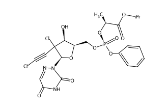 CC(C)OC(=O)[C@H](C)O[P@](=O)(OC[C@H]1O[C@@H](n2ncc(=O)[nH]c2=O)C(Cl)(C#CCl)[C@H]1O)Oc1ccccc1